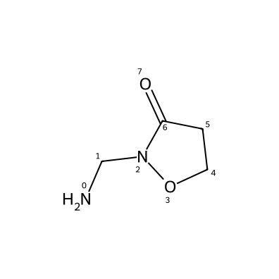 NCN1OCCC1=O